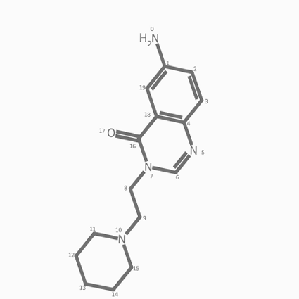 Nc1ccc2ncn(CCN3CCCCC3)c(=O)c2c1